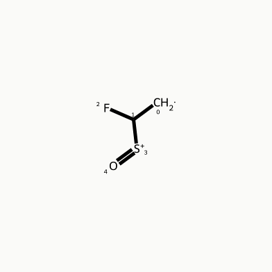 [CH2]C(F)[S+]=O